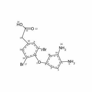 Nc1ccc(Oc2c(Br)cc(CC(=O)O)cc2Br)cc1N